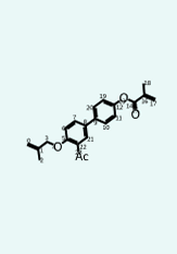 C=C(C)COc1ccc(-c2ccc(OC(=O)C(=C)C)cc2)cc1C(C)=O